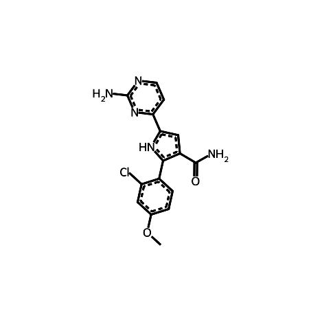 COc1ccc(-c2[nH]c(-c3ccnc(N)n3)cc2C(N)=O)c(Cl)c1